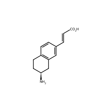 N[C@H]1CCc2ccc(/C=C/C(=O)O)cc2C1